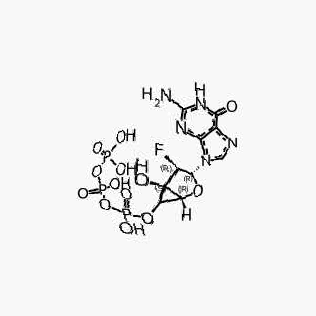 Nc1nc2c(ncn2[C@@H]2O[C@@H]3C(OP(=O)(O)OP(=O)(O)OP(=O)(O)O)[C@]3(O)[C@H]2F)c(=O)[nH]1